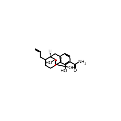 C=CCC1CCC23CC(O)C=C[C@@]2(O)[C@H]1Cc1ccc(C(N)=O)c(O)c13